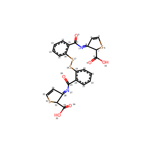 O=C(N=C1C=CSC1C(=O)O)c1ccccc1SSc1ccccc1C(=O)N=C1C=CSC1C(=O)O